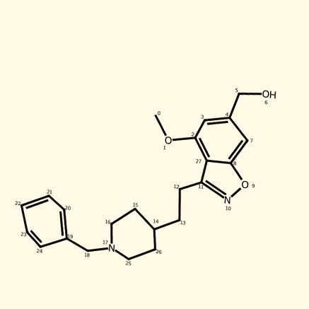 COc1cc(CO)cc2onc(CCC3CCN(Cc4ccccc4)CC3)c12